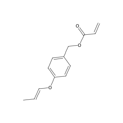 C=CC(=O)OCc1ccc(O/C=C/C)cc1